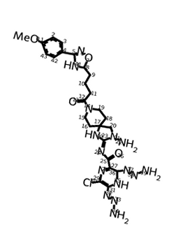 COc1ccc(C2=NOC(CCCC(=O)N3CCC4(CC3)CN(N)/C(=N\C(=O)C3=NC(Cl)=C(N=NN)NC3N=NN)N4)N2)cc1